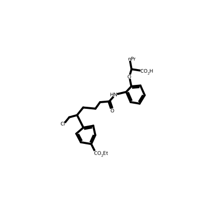 CCCC(Oc1ccccc1NC(=O)CCCC(CCl)c1ccc(C(=O)OCC)cc1)C(=O)O